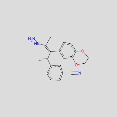 C=C(/C(=C(/C)NN)c1ccc2c(c1)OCCO2)c1cccc(C#N)c1